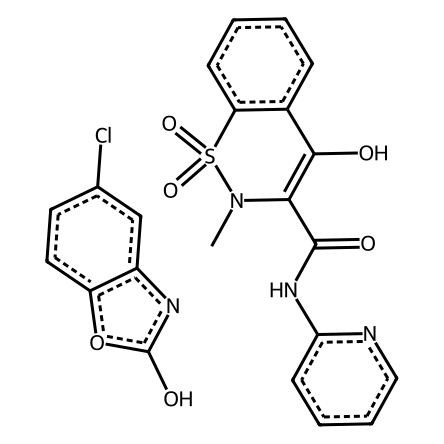 CN1C(C(=O)Nc2ccccn2)=C(O)c2ccccc2S1(=O)=O.Oc1nc2cc(Cl)ccc2o1